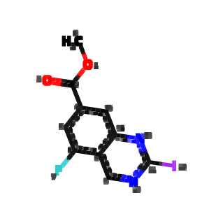 COC(=O)c1cc(F)c2cnc(I)nc2c1